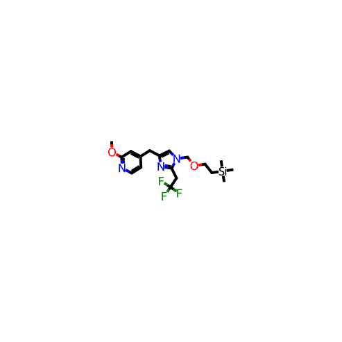 COc1cc(Cc2cn(COCC[Si](C)(C)C)c(CC(F)(F)F)n2)ccn1